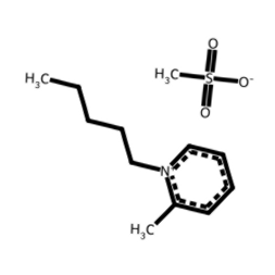 CCCCC[n+]1ccccc1C.CS(=O)(=O)[O-]